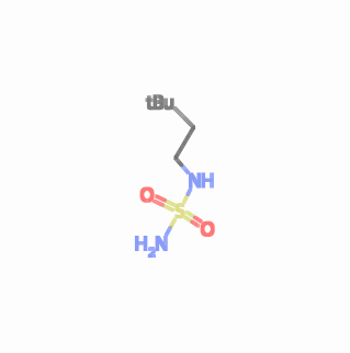 CC(C)(C)CCNS(N)(=O)=O